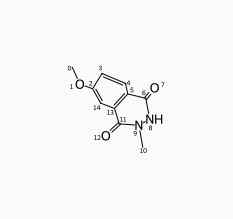 COc1ccc2c(=O)[nH]n(C)c(=O)c2c1